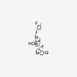 COc1ccc2nccc(C(F)CC[C@@H]3CCN(CC#Cc4ccc(C)c(F)c4)C[C@@H]3C(=O)O)c2c1